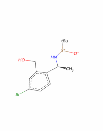 C[C@H](N[S+]([O-])C(C)(C)C)c1ccc(Br)cc1CO